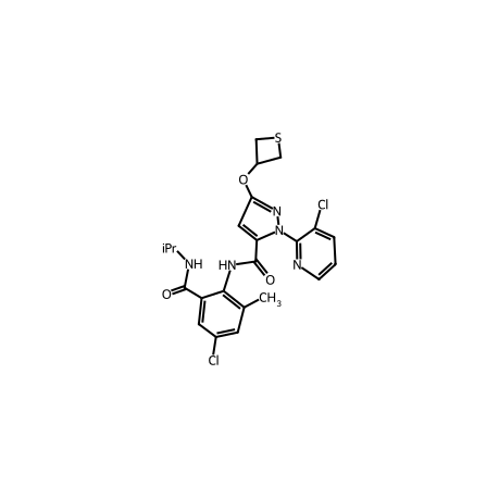 Cc1cc(Cl)cc(C(=O)NC(C)C)c1NC(=O)c1cc(OC2CSC2)nn1-c1ncccc1Cl